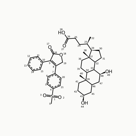 CS(=O)(=O)c1ccc(C2=C(c3ccccc3)C(=O)OC2)cc1.C[C@H](CCC(=O)O)[C@H]1CCC2C3C(CC[C@@]21C)[C@@]1(C)CC[C@H](O)CC1C[C@@H]3O